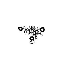 CN1C(=O)C2(SC(=O)Oc3ccccc3)C[C@](C)(C#N)[C@H](c3ccc4c(c3)OCO4)N2C(=O)[C@]1(C)SC(=O)Oc1ccccc1